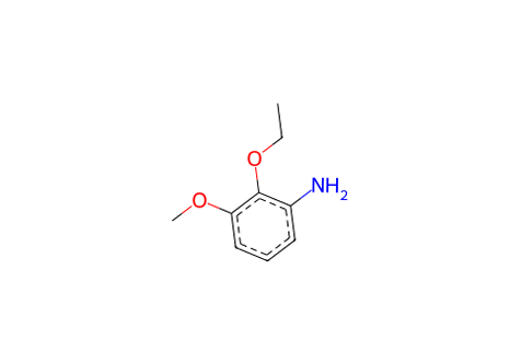 CCOc1c(N)cccc1OC